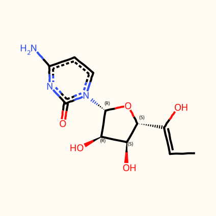 CC=C(O)[C@H]1O[C@@H](n2ccc(N)nc2=O)[C@H](O)[C@@H]1O